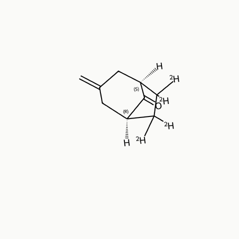 [2H]C1([2H])[C@@H]2CC(=C)C[C@@H](C2=O)C1([2H])[2H]